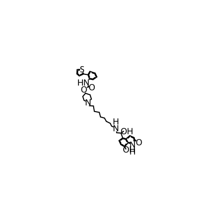 O=C(Nc1ccccc1-c1cccs1)OC1CCN(CCCCCCCCCNCC(O)c2ccc(O)c3[nH]c(=O)ccc23)CC1